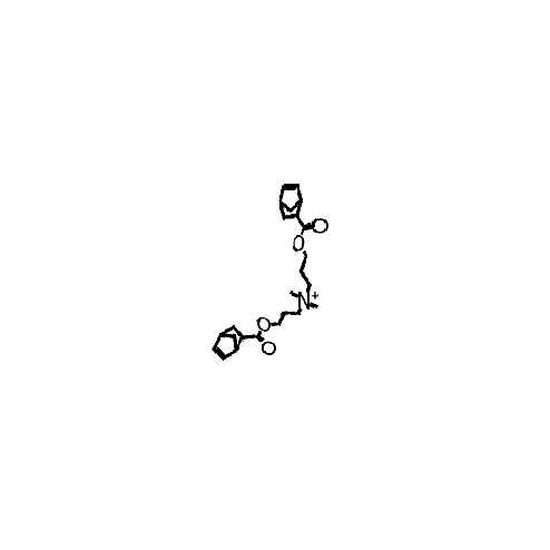 C[N+](C)(CCCOC(=O)C1CC2C=CC1C2)CCCOC(=O)C1CC2C=CC1C2